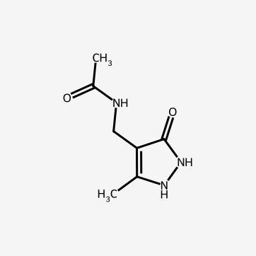 CC(=O)NCc1c(C)[nH][nH]c1=O